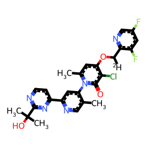 [2H]C(Oc1cc(C)n(-c2cc(-c3ccnc(C(C)(C)O)n3)ncc2C)c(=O)c1Cl)c1ncc(F)cc1F